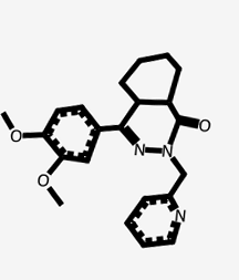 COc1ccc(C2=NN(Cc3ccccn3)C(=O)C3CCCCC23)cc1OC